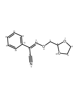 N#CC(=NOCC1OCCO1)c1ccccc1